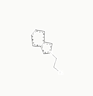 CC(=O)CCn1cc2ccccc2c1